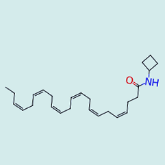 CC/C=C\C/C=C\C/C=C\C/C=C\C/C=C\C/C=C\CCC(=O)NC1CCC1